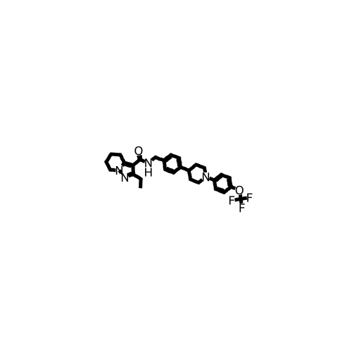 CCc1nn2c(c1C(=O)NCc1ccc(C3CCN(c4ccc(OC(F)(F)F)cc4)CC3)cc1)CCCC2